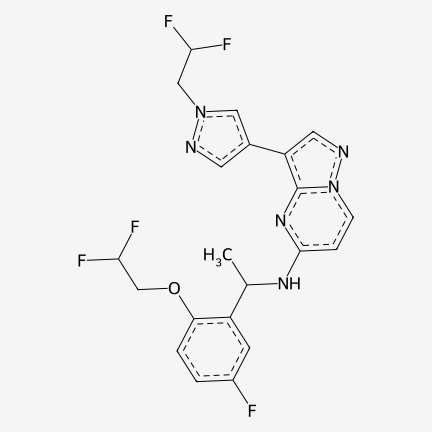 CC(Nc1ccn2ncc(-c3cnn(CC(F)F)c3)c2n1)c1cc(F)ccc1OCC(F)F